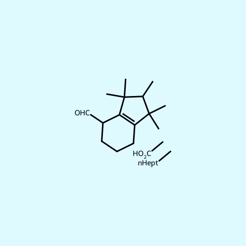 CC(=O)O.CC1C(C)(C)C2=C(C(C=O)CCC2)C1(C)C.CCCCCCCC